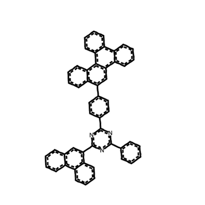 c1ccc(-c2nc(-c3ccc(-c4cc5c6ccccc6c6ccccc6c5c5ccccc45)cc3)nc(-c3cc4ccccc4c4ccccc34)n2)cc1